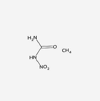 C.NC(=O)N[N+](=O)[O-]